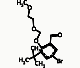 COCCOCOc1c(C=O)cc(Br)cc1C(C)(C)C